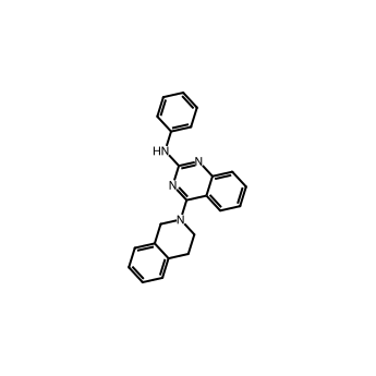 c1ccc(Nc2nc(N3CCc4ccccc4C3)c3ccccc3n2)cc1